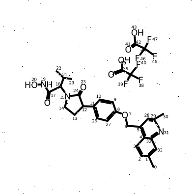 Cc1ccc2c(COc3ccc(C4CCN(C(C(=O)NO)C(C)C)C4=O)cc3)cc(C)nc2c1.O=C(O)C(F)(F)F.O=C(O)C(F)(F)F